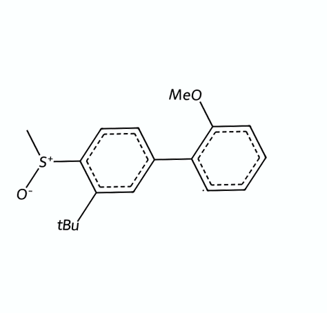 COc1ccc[c]c1-c1ccc([S+](C)[O-])c(C(C)(C)C)c1